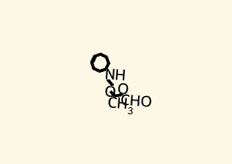 CC(OCCNC1CCC=CCCC1)C(=O)C=O